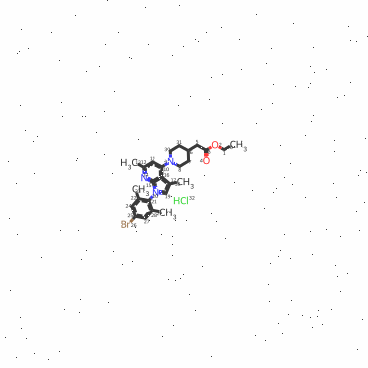 CCOC(=O)CC1CCN(c2cc(C)nc3c2c(C)cn3-c2c(C)cc(Br)cc2C)CC1.Cl